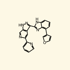 c1ccc(-c2cc3c(-c4nc5c(-c6ccoc6)cccc5[nH]4)n[nH]c3cn2)nc1